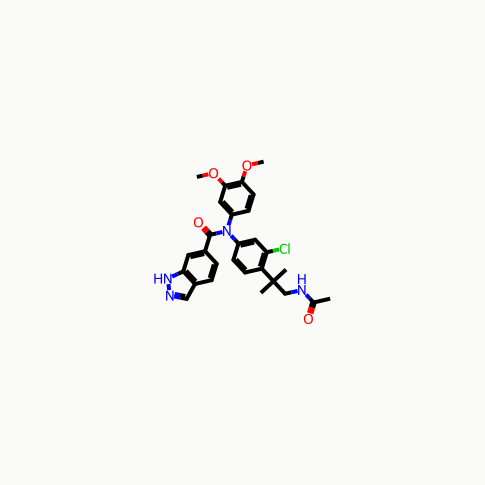 COc1ccc(N(C(=O)c2ccc3cn[nH]c3c2)c2ccc(C(C)(C)CNC(C)=O)c(Cl)c2)cc1OC